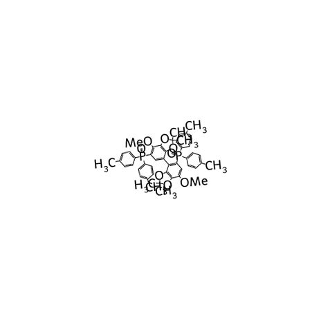 COc1cc(P(=O)(c2ccc(C)cc2)c2ccc(C)cc2)c(-c2cc(P(=O)(c3ccc(C)cc3)c3ccc(C)cc3)c(OC)c3c2OC(C)(C)O3)c2c1OC(C)(C)O2